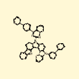 c1ccc(-c2ccc(-c3nc(-n4c5ccc6c7ccccc7oc6c5c5c6c7ccccc7n(-c7cccc(-c8ccccc8)c7)c6ccc54)nc4ccccc34)cc2)cc1